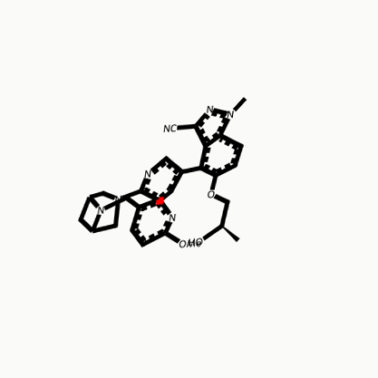 COc1ccc(CN2C3CC2CN(c2ccc(-c4c(OC[C@@H](C)O)ccc5c4c(C#N)nn5C)cn2)C3)cn1